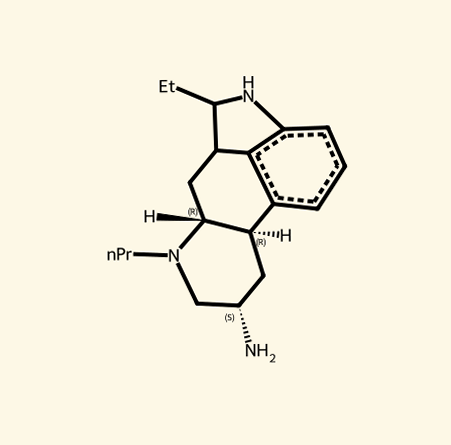 CCCN1C[C@@H](N)C[C@@H]2c3cccc4c3C(C[C@H]21)C(CC)N4